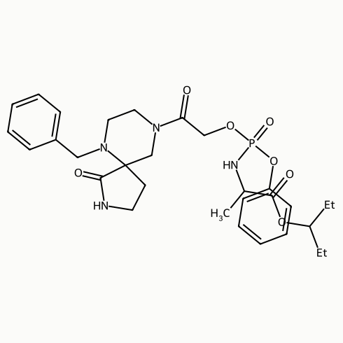 CCC(CC)OC(=O)C(C)NP(=O)(OCC(=O)N1CCN(Cc2ccccc2)C2(CCNC2=O)C1)Oc1ccccc1